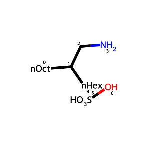 CCCCCCCCC(CN)CCCCCC.O=S(=O)(O)O